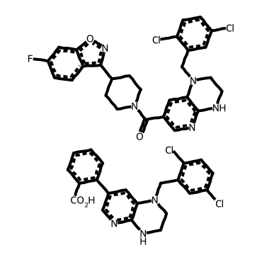 O=C(O)c1ccccc1-c1cnc2c(c1)N(Cc1cc(Cl)ccc1Cl)CCN2.O=C(c1cnc2c(c1)N(Cc1cc(Cl)ccc1Cl)CCN2)N1CCC(c2noc3cc(F)ccc23)CC1